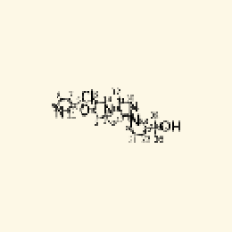 CC1=CC(OCc2cccnc2)=C(Cl)CN1c1cc(N2C=CC=C(C(C)(C)O)C2)ncc1C